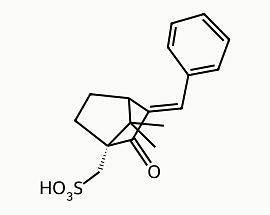 CC1(C)C2CC[C@]1(CS(=O)(=O)O)C(=O)/C2=C/c1ccccc1